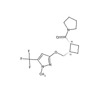 Cn1nc(OC[C@H]2CC[C@H]2C(=O)N2CCCC2)cc1C(F)(F)F